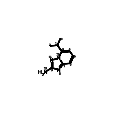 CC(C)c1cccc2nc(N)nn12